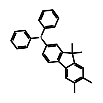 Cc1cc2c(cc1C)C(C)(C)c1cc(N(c3ccccc3)c3ccccc3)ccc1-2